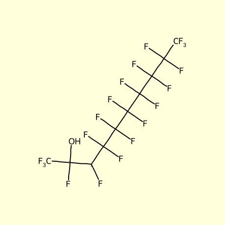 OC(F)([C](F)C(F)(F)C(F)(F)C(F)(F)C(F)(F)C(F)(F)C(F)(F)C(F)(F)F)C(F)(F)F